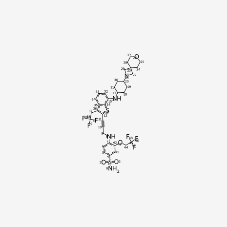 NS(=O)(=O)c1ccc(NCC#Cc2sc3c(NC4CCC(N5CC6(CCOCC6)C5)CC4)cccc3c2CC(F)(F)F)c(OCC(F)(F)F)c1